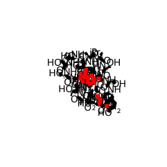 CC(C)C[C@H](NC(=O)[C@H](CC(=O)O)NC(=O)[C@@H](NC(=O)[C@@H](NC(=O)[C@H](CCCNC(=N)N)NC(=O)[C@@H](NC(=O)[C@@H](NC(=O)[C@H](C)NC(=O)[C@H](CCC(N)=O)NC(=O)CNC(=O)[C@H](CCC(=O)O)NC(=O)CNC(=O)[C@H](CO)NC(=O)[C@@H](NC(=O)CN)[C@@H](C)O)[C@@H](C)O)C(C)C)[C@@H](C)O)[C@@H](C)O)C(=O)N[C@@H](CO)C(=O)N[C@@H](Cc1ccccc1)C(=O)N[C@@H](CO)C(=O)N[C@@H](Cc1ccc(O)cc1)C(=O)N[C@H](C(=O)O)C(C)C